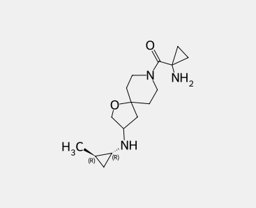 C[C@@H]1C[C@H]1NC1COC2(CCN(C(=O)C3(N)CC3)CC2)C1